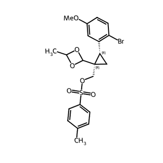 COc1ccc(Br)c([C@@H]2C[C@@]2(COS(=O)(=O)c2ccc(C)cc2)C2OC(C)O2)c1